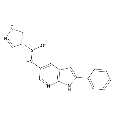 [O-][S+](Nc1cnc2[nH]c(-c3ccccc3)cc2c1)c1cn[nH]c1